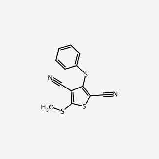 CSc1sc(C#N)c(Sc2ccccc2)c1C#N